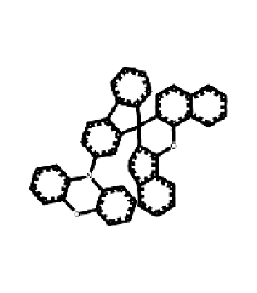 c1ccc2c(c1)Oc1ccccc1N2c1ccc2c(c1)C1(c3ccccc3-2)c2ccc3ccccc3c2Oc2c1ccc1ccccc21